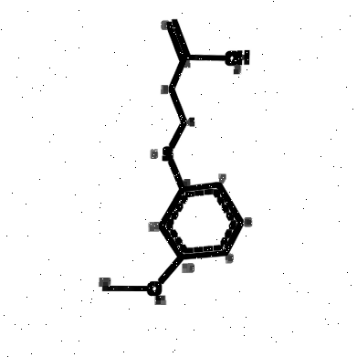 C=C(O)CCSc1cccc(OC)c1